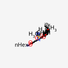 CCCCCC/C=C\COC(=O)CCCCCCCN(CCCC(=O)O[C@H]1CC[C@@]2(C)C(=CC[C@H]3[C@@H]4CC[C@H]([C@H](C)CCCC(C)C)[C@@]4(C)CC[C@@H]32)C1)C(=O)SCCN(C)C